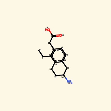 CCc1c(CC(=O)O)ccc2c1CCC(N)C2